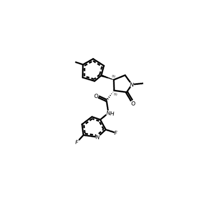 Cc1ccc([C@H]2CN(C)C(=O)[C@@H]2C(=O)Nc2ccc(F)nc2F)cc1